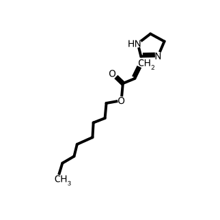 C1=NCCN1.C=CC(=O)OCCCCCCCC